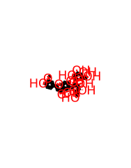 COc1cc(-c2cc(=O)c3c(O)c([C@@H]4OC(CO)[C@@H](O)[C@H](O)C4O[C@@H]4OC(CO)[C@@H](O)[C@H](O)C4O)c(O)cc3o2)ccc1O